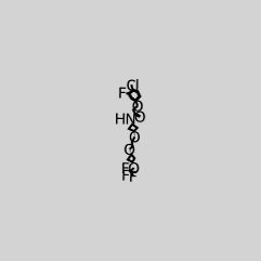 O=C(COc1ccc(Cl)c(F)c1)N[C@H]1C[C@@H](OCCO[C@H]2C[C@H](OC(F)(F)F)C2)C1